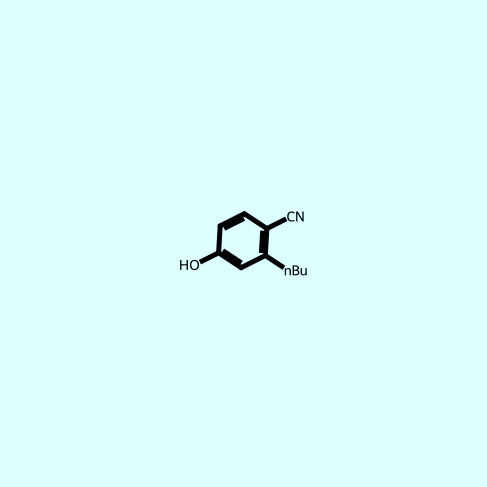 CCCCc1cc(O)ccc1C#N